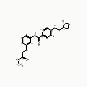 CNC(=O)CCc1cccc(NC(=O)c2cnc(OCC3CCO3)cn2)c1